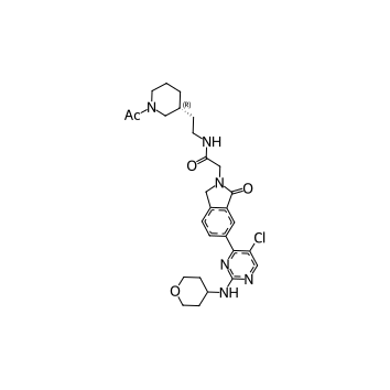 CC(=O)N1CCC[C@H](CCNC(=O)CN2Cc3ccc(-c4nc(NC5CCOCC5)ncc4Cl)cc3C2=O)C1